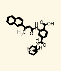 CC(=CC(=O)Nc1cc(C(=O)N[C@H]2CN3CCC2CC3)ccc1C(=O)O)c1ccc2ccccc2c1